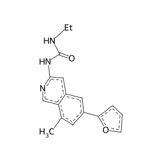 CCNC(=O)Nc1cc2cc(-c3ccco3)cc(C)c2cn1